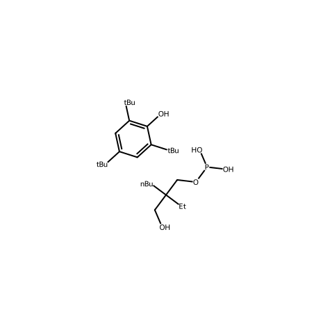 CC(C)(C)c1cc(C(C)(C)C)c(O)c(C(C)(C)C)c1.CCCCC(CC)(CO)COP(O)O